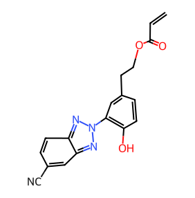 C=CC(=O)OCCc1ccc(O)c(-n2nc3ccc(C#N)cc3n2)c1